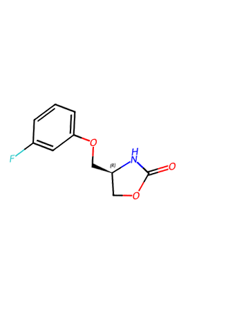 O=C1N[C@H](COc2cccc(F)c2)CO1